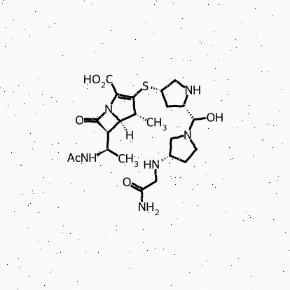 CC(=O)N[C@H](C)[C@H]1C(=O)N2C(C(=O)O)=C(S[C@@H]3CN[C@H](C(O)N4CC[C@H](NCC(N)=O)C4)C3)[C@H](C)[C@@H]12